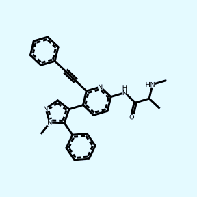 CNC(C)C(=O)Nc1ccc(-c2cnn(C)c2-c2ccccc2)c(C#Cc2ccccc2)n1